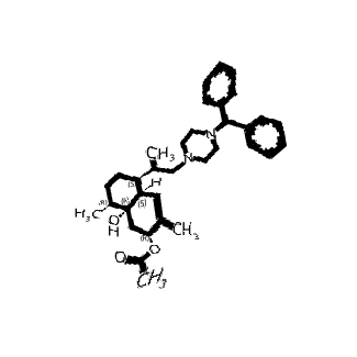 CC(=O)O[C@@H]1[CH][C@@]2(O)[C@H](C)CC[C@@H](C(C)CN3CCN(C(c4ccccc4)c4ccccc4)CC3)[C@H]2C=C1C